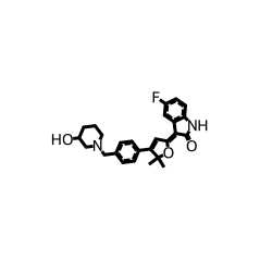 CC1(C)OC(=C2C(=O)Nc3ccc(F)cc32)C=C1c1ccc(CN2CCCC(O)C2)cc1